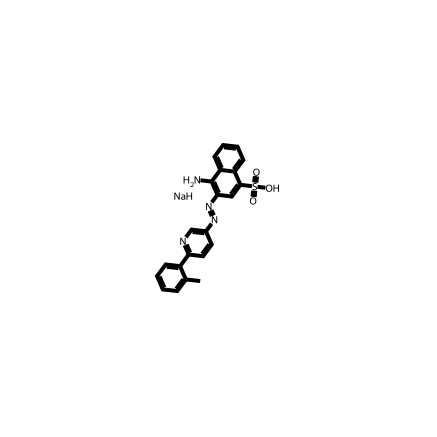 Cc1ccccc1-c1ccc(/N=N/c2cc(S(=O)(=O)O)c3ccccc3c2N)cn1.[NaH]